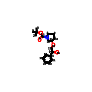 CC(C)(C)OC(=O)N1CCC[C@@H](OCC(=O)c2ccccc2)C1